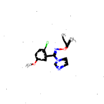 COc1ccc(Cl)c(C(=NOC(C)C)n2ccnc2)c1